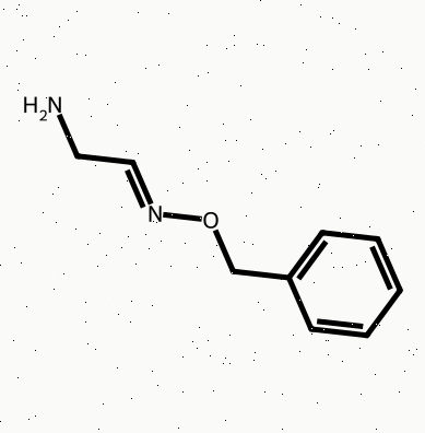 NCC=NOCc1ccccc1